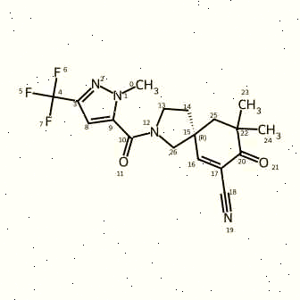 Cn1nc(C(F)(F)F)cc1C(=O)N1CC[C@]2(C=C(C#N)C(=O)C(C)(C)C2)C1